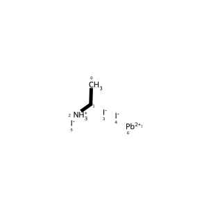 CC[NH3+].[I-].[I-].[I-].[Pb+2]